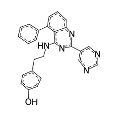 Oc1ccc(CCNc2nc(-c3cncnc3)nc3cccc(-c4ccccc4)c23)cc1